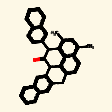 Cc1cc(C)c2ccc3c4c2c1C(c1ccc2ccccc2c1)C(=O)C4c1cc2ccccc2cc1C3